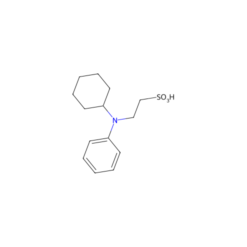 O=S(=O)(O)CCN(c1ccccc1)C1CCCCC1